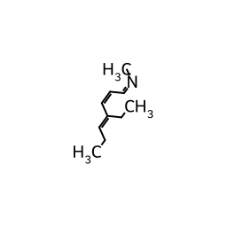 CC/C=C(/C=C\C=N/C)CC